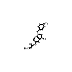 C=CC(=O)Nc1cnc2c(c1)c(Cl)cn2Cc1ccc(C(F)(F)F)cc1